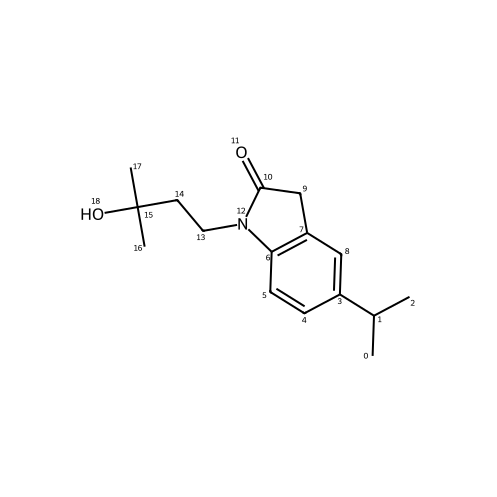 CC(C)c1ccc2c(c1)CC(=O)N2CCC(C)(C)O